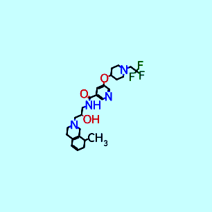 CC1CC=CC2=C1CN(C[C@@H](O)CNC(=O)c1cncc(OC3CCN(CC(F)(F)F)CC3)c1)CC2